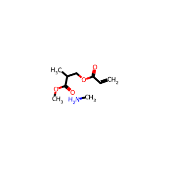 C=CC(=O)OCC(C)C(=O)OC.CN